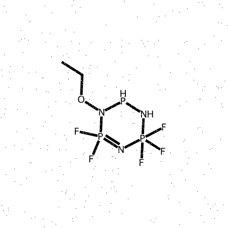 CCON1PNP(F)(F)(F)N=P1(F)F